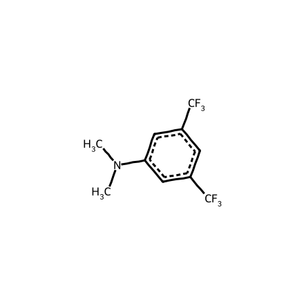 CN(C)c1cc(C(F)(F)F)cc(C(F)(F)F)c1